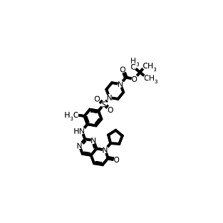 Cc1cc(S(=O)(=O)N2CCN(C(=O)OC(C)(C)C)CC2)ccc1Nc1ncc2ccc(=O)n(C3CCCC3)c2n1